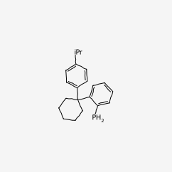 CC(C)c1ccc(C2(c3ccccc3P)CCCCC2)cc1